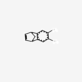 Nc1cc2c(cc1N)C1C=CC2C1